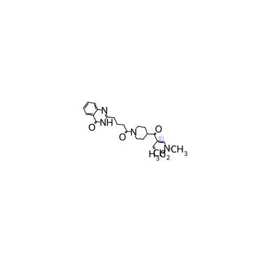 C=C/C(=C\N(C)C)C(=O)C1CCN(C(=O)CCCc2nc3ccccc3c(=O)[nH]2)CC1